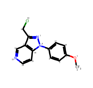 FC(F)(F)Oc1ccc(-n2nc(CCl)c3cnccc32)cc1